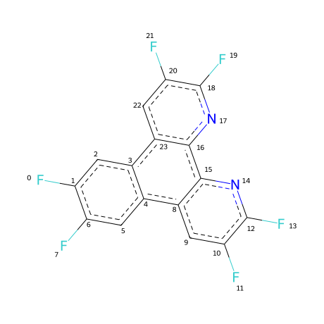 Fc1cc2c(cc1F)c1cc(F)c(F)nc1c1nc(F)c(F)cc21